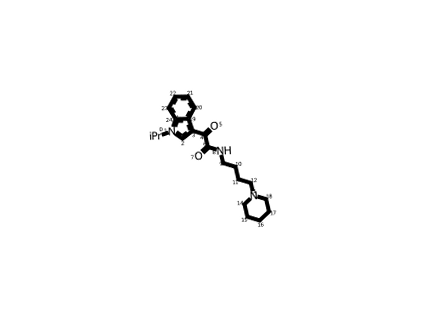 CC(C)n1cc(C(=O)C(=O)NCCCCN2CCCCC2)c2ccccc21